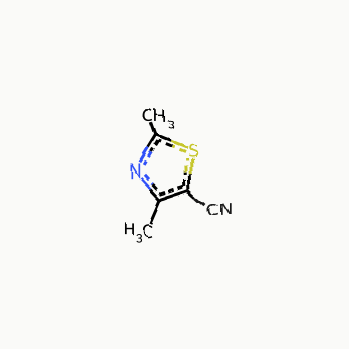 Cc1nc(C)c(C#N)s1